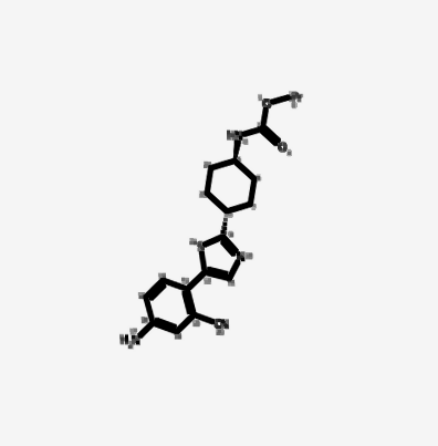 CC(C)OC(=O)N[C@H]1CC[C@H](c2ncc(-c3ccc(N)cc3C#N)s2)CC1